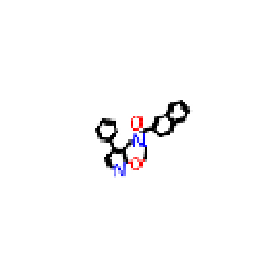 O=C(c1ccc2ccccc2c1)N1CCOc2nccc(-c3ccccc3)c2C1